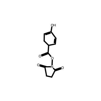 O=C(ON1C(=O)CCC1=O)C1C=CC(O)=CC1